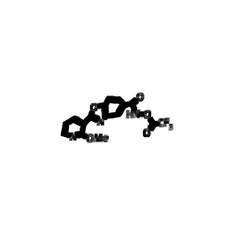 COc1ncccc1-c1nc2cc(C(=O)NOC(=O)C(F)(F)F)ccc2o1